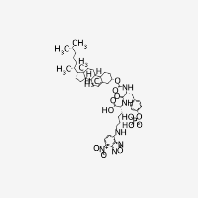 CC(C)CCC[C@@H](C)[C@H]1CC[C@H]2[C@@H]3CC=C4C[C@@H](OC(=O)N[C@H](Cc5ccc(OP(=O)(O)O)cc5)C(=O)N[C@H](CCCCNc5ccc([N+](=O)[O-])c6nonc56)C(=O)O)CC[C@]4(C)[C@H]3CC[C@]12C